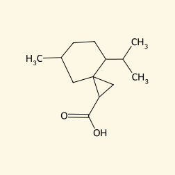 CC1CCC(C(C)C)C2(C1)CC2C(=O)O